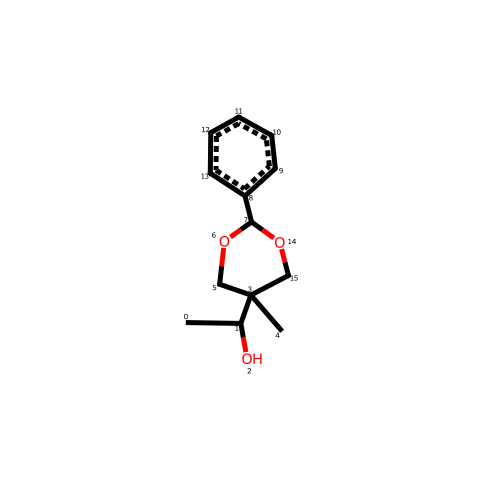 CC(O)C1(C)COC(c2ccccc2)OC1